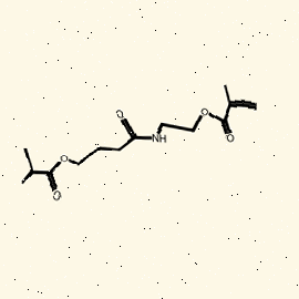 C=C(C)C(=O)OCCNC(=O)CCCOC(=O)C(C)C